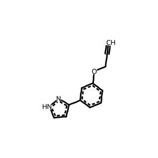 C#CCOc1cccc(-c2cc[nH]n2)c1